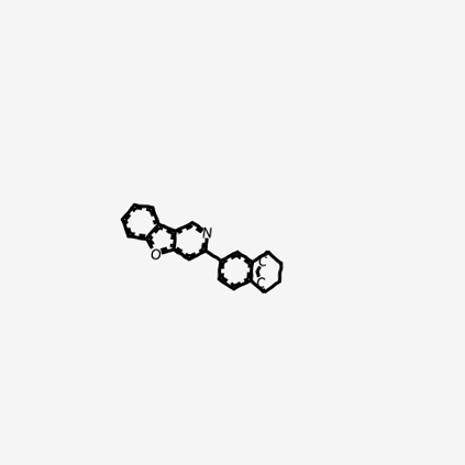 c1ccc2c(c1)oc1cc(-c3ccc4c(c3)C3CCCC4CC3)ncc12